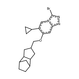 Brc1nnc2cc(OCC3CC4C5CCC(C5)C4C3)c(C3CC3)cn12